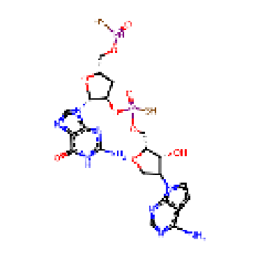 Nc1nc2c(ncn2[C@@H]2O[C@H](CO[PH](=O)S)C[C@H]2OP(=O)(S)OC[C@H]2OCC(n3ccc4c(N)ncnc43)[C@H]2O)c(=O)[nH]1